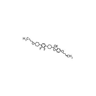 C=CCCOc1ccc(OC(=O)C2CCC(c3ccc(C4CCC(OCCCC)CC4)c(F)c3F)CC2)c(F)c1